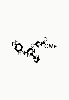 COC(=O)N1CC(Oc2cc(NC3CCC(F)(F)CC3)nc(-c3nccs3)n2)C1